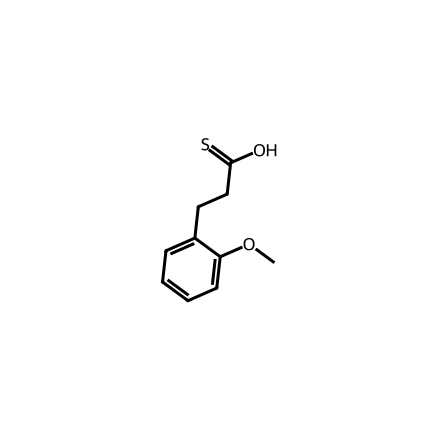 COc1ccccc1CCC(O)=S